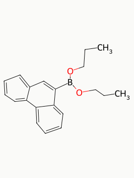 CCCOB(OCCC)c1cc2ccccc2c2ccccc12